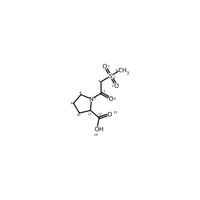 CS(=O)(=O)CC(=O)N1CCCC1C(=O)O